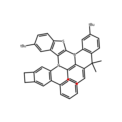 CC(C)(C)c1ccc2c(c1)B1c3sc4ccc(C(C)(C)C)cc4c3N(c3cc4c(cc3-c3ccccc3)CC4)c3cccc(c31)C2(C)C